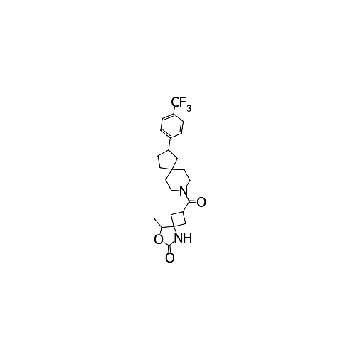 CC1OC(=O)NC12CC(C(=O)N1CCC3(CCC(c4ccc(C(F)(F)F)cc4)C3)CC1)C2